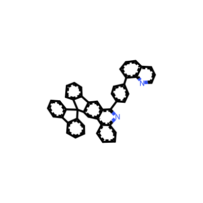 c1ccc2c(c1)-c1ccccc1C21c2ccccc2-c2cc3c(-c4ccc(-c5cccc6cccnc56)cc4)nc4ccccc4c3cc21